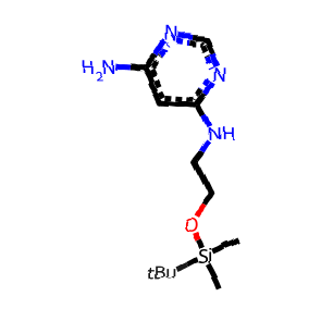 CC(C)(C)[Si](C)(C)OCCNc1cc(N)ncn1